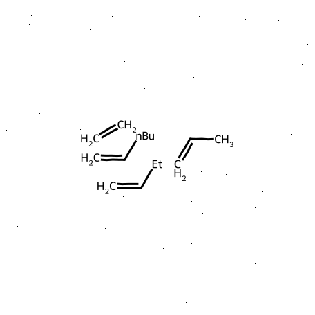 C=C.C=CC.C=CCC.C=CCCCC